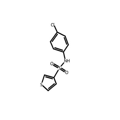 O=S(=O)(Nc1ccc(Cl)cc1)c1ccsc1